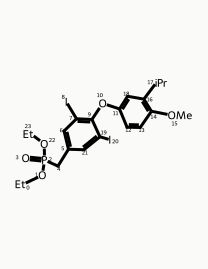 CCOP(=O)(Cc1cc(I)c(Oc2ccc(OC)c(C(C)C)c2)c(I)c1)OCC